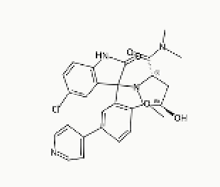 COc1ccc(-c2ccncc2)cc1C1(N2C[C@H](O)C[C@H]2C(=O)N(C)C)C(=O)Nc2ccc(Cl)cc21